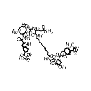 CC(=O)N1CC[C@H]2CC[C@@H](C(=O)N[C@@H](CCC(N)=O)C(=O)NCCCCCCCCCC(=O)NC(C(=O)N3C[C@H](O)C[C@H]3C(=O)NCc3ccc(-c4scnc4C)cc3)C(C)(C)C)N2C(=O)[C@@H](NC(=O)c2cc3cc(C(=O)P(=O)(O)O)ccc3[nH]2)C1